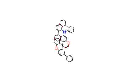 c1ccc(-c2ccc3c(c2)C2(c4ccccc4Oc4cc(N(c5ccccc5-c5ccccc5)c5ccccc5-c5ccccc5)ccc42)c2ccccc2O3)cc1